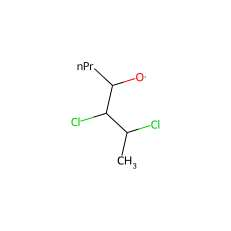 CCCC([O])C(Cl)C(C)Cl